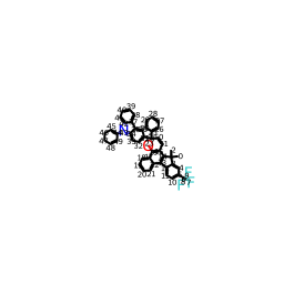 CC1(C)c2cc(C(F)(F)F)ccc2-c2c1c1c(c3ccccc23)OC(c2ccccc2)(c2ccc3c(c2)c2ccccc2n3C2=CCCC=C2)C=C1